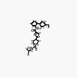 CCc1ccc(-c2ccccc2NC(=O)c2csc(C3CCN(C(=S)NCC(C)C)CC3)n2)cc1